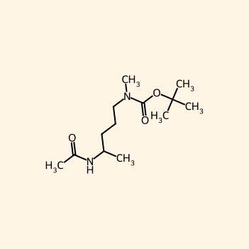 CC(=O)NC(C)CCCN(C)C(=O)OC(C)(C)C